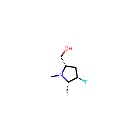 C[C@H]1[C@H](F)C[C@@H](CO)N1C